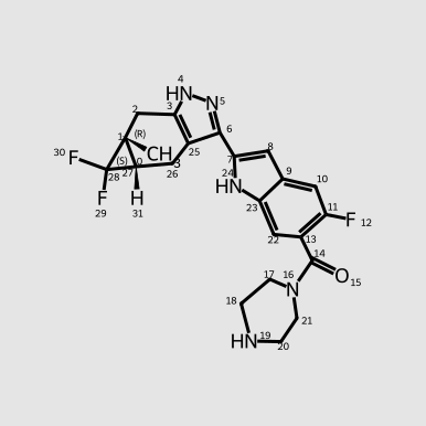 C[C@@]12Cc3[nH]nc(-c4cc5cc(F)c(C(=O)N6CCNCC6)cc5[nH]4)c3C[C@@H]1C2(F)F